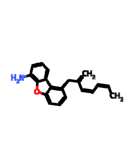 C=C(/C=C\C=C/C)Cc1cccc2oc3c(N)cccc3c12